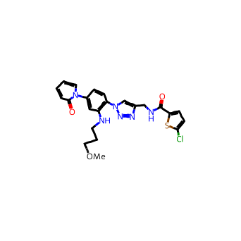 COCCCNc1cc(-n2ccccc2=O)ccc1-n1cc(CNC(=O)c2ccc(Cl)s2)nn1